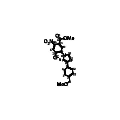 COCc1ccc(-c2cn(-c3cc(C(=O)OC)c([N+](=O)[O-])cc3C(F)(F)F)cn2)cc1